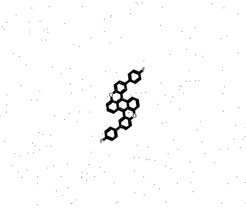 Fc1ccc(-c2ccc3oc4cccc5c4c(c3c2)c2cccc3oc4ccc(-c6ccc(F)cc6)cc4c5c32)cc1